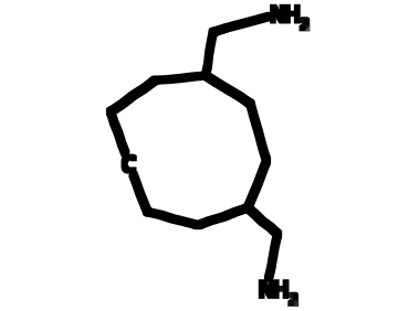 NCC1CCCCCC(CN)CC1